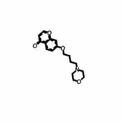 O=c1ccoc2cc(OCCCCN3CCOCC3)ccc12